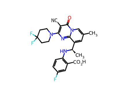 Cc1cc([C@@H](C)Nc2ccc(F)cc2C(=O)O)c2nc(N3CCC(F)(F)CC3)c(C#N)c(=O)n2c1